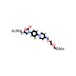 COCOCCON=C1CCN(c2ccc(N3C[C@H](CNC(C)=O)OC3=O)cc2F)CC1